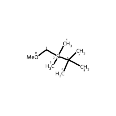 CO[CH][Si](C)(C)C(C)(C)C